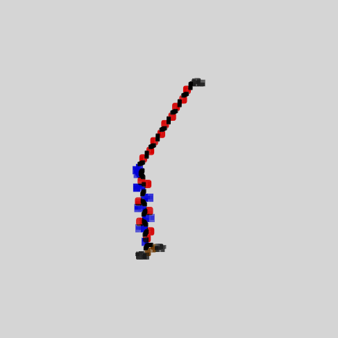 CC(C)SC/C(CSC(C)(C)C)=N\OCC(=O)NCC(=O)NCC(=O)NCC(=O)NCCNC(=O)OCc1cn(CCOCCOCCOCCOCCOCCOCCOCCOCCOCCC(C)(C)C)nn1